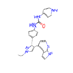 CCn1cc(-c2ccnc3[nH]ccc23)c(-c2ccc(NC(=O)NC3=CCNC=C3)cc2)n1